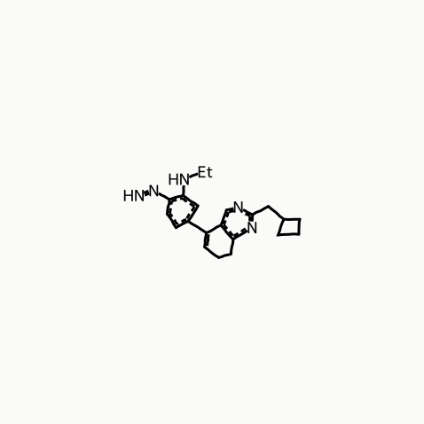 CCNc1cc(C2=CCCc3nc(CC4CCC4)ncc32)ccc1N=N